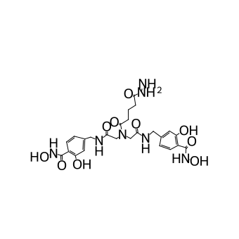 NNC(=O)CCCC(=O)N(CC(=O)NCc1ccc(C(=O)NO)c(O)c1)CC(=O)NCc1ccc(C(=O)NO)c(O)c1